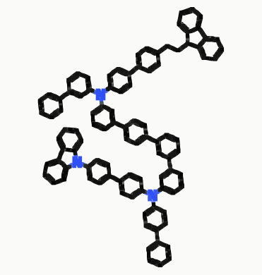 c1ccc(-c2ccc(N(c3ccc(-c4ccc(-n5c6ccccc6c6ccccc65)cc4)cc3)c3cccc(-c4cccc(-c5ccc(-c6cccc(N(c7ccc(-c8ccc(CCC9c%10ccccc%10-c%10ccccc%109)cc8)cc7)c7cccc(-c8ccccc8)c7)c6)cc5)c4)c3)cc2)cc1